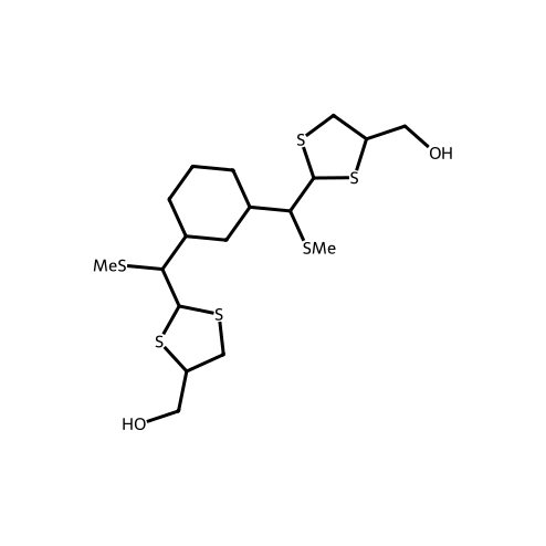 CSC(C1CCCC(C(SC)C2SCC(CO)S2)C1)C1SCC(CO)S1